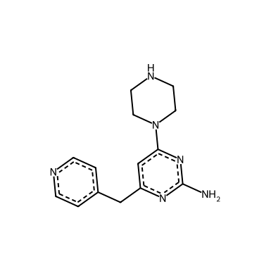 Nc1nc(Cc2ccncc2)cc(N2CCNCC2)n1